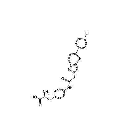 N[C@@H](Cc1ccc(NC(=O)Cc2cn3nc(-c4ccc(Cl)cc4)ccc3n2)cc1)C(=O)O